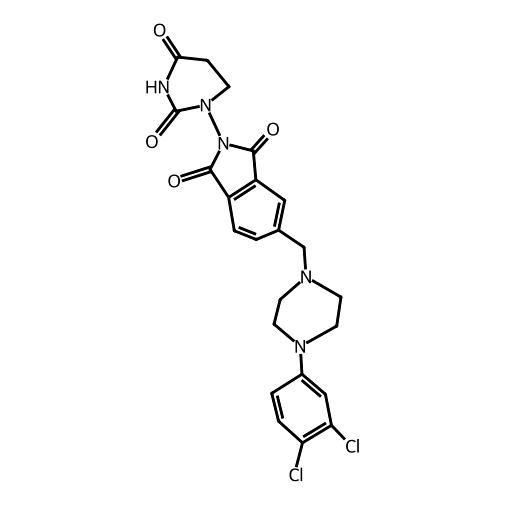 O=C1CCN(N2C(=O)c3ccc(CN4CCN(c5ccc(Cl)c(Cl)c5)CC4)cc3C2=O)C(=O)N1